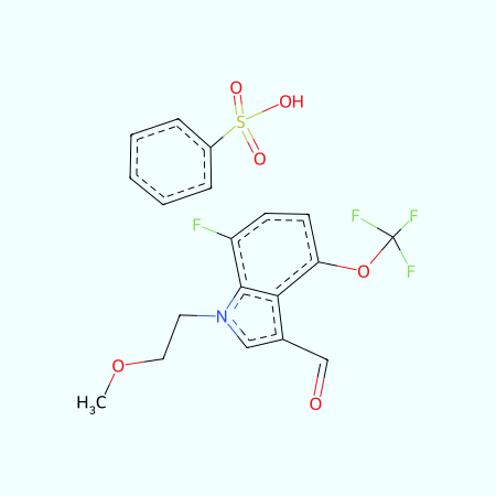 COCCn1cc(C=O)c2c(OC(F)(F)F)ccc(F)c21.O=S(=O)(O)c1ccccc1